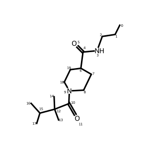 CCCNC(=O)C1CCN(C(=O)C(C)(C)C(C)C)CC1